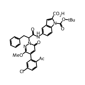 COc1nn(C(Cc2ccccc2)C(=O)Nc2ccc3c(c2)cc(C(=O)O)n3C(=O)OC(C)(C)C)c(=O)cc1-c1cc(Cl)ccc1C(C)=O